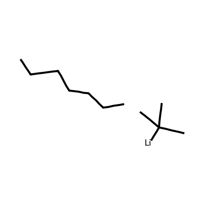 CCCCCCC.[Li][C](C)(C)C